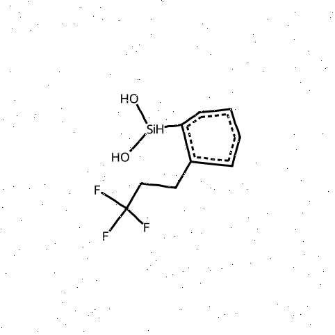 O[SiH](O)c1ccccc1CCC(F)(F)F